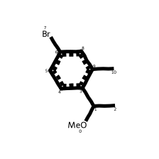 COC(C)c1ccc(Br)cc1C